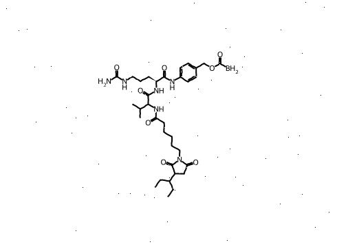 BC(=O)OCc1ccc(NC(=O)[C@H](CCCNC(N)=O)NC(=O)C(NC(=O)CCCCCN2C(=O)CC(C(CC)CC)C2=O)C(C)C)cc1